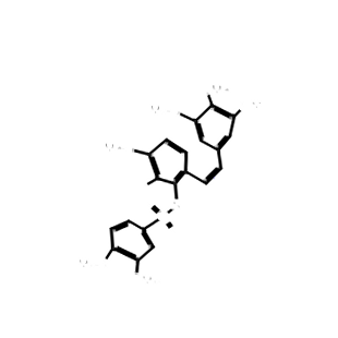 COc1ccc(S(=O)(=O)Nc2c(/C=C\c3cc(OC)c(OC)c(OC)c3)ccc(OC)c2O)cc1OC